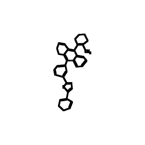 CC1=C(c2c3c(c(-c4cccc(-c5ccc(C6=CCCC=C6)s5)c4)c4ccccc24)CCC=C3)CCCC1